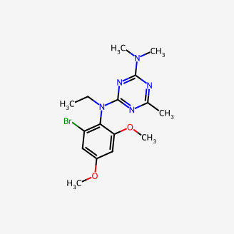 CCN(c1nc(C)nc(N(C)C)n1)c1c(Br)cc(OC)cc1OC